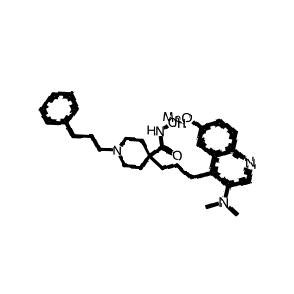 COc1ccc2ncc(N(C)C)c(CCCC3(C(=O)NO)CCN(CCCc4ccccc4)CC3)c2c1